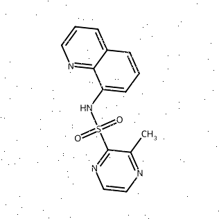 Cc1nccnc1S(=O)(=O)Nc1cccc2cccnc12